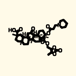 Cc1oc(=O)oc1COC(=O)[C@]1(C)[C@@H](OC(=O)CCN2CCCCC2)CC[C@@]2(C)[C@H]1CC[C@]1(C)[C@@H]2C(=O)C=C2[C@@H]3C[C@@](C)(C(=O)O)CC[C@]3(C)CC[C@]21C